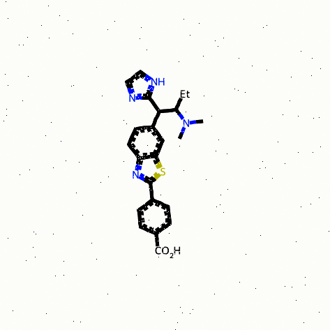 CCC(C(c1ccc2nc(-c3ccc(C(=O)O)cc3)sc2c1)c1ncc[nH]1)N(C)C